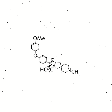 COc1ccc(Oc2ccc(S(=O)(=O)C3(C(=O)O)CCC4(CCN(C)CC4)C3)cc2)cc1